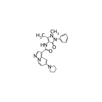 Cc1c(NC(=O)c2cnn3ccc(N4CCCC4)cc23)c(=O)n(-c2ccccc2)n1C